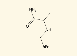 CCCCNC(C)C(N)=O